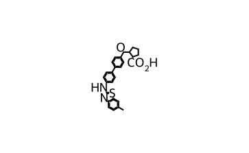 Cc1ccc2nc(Nc3ccc(-c4ccc(C(=O)C5CCCC5C(=O)O)cc4)cc3)sc2c1